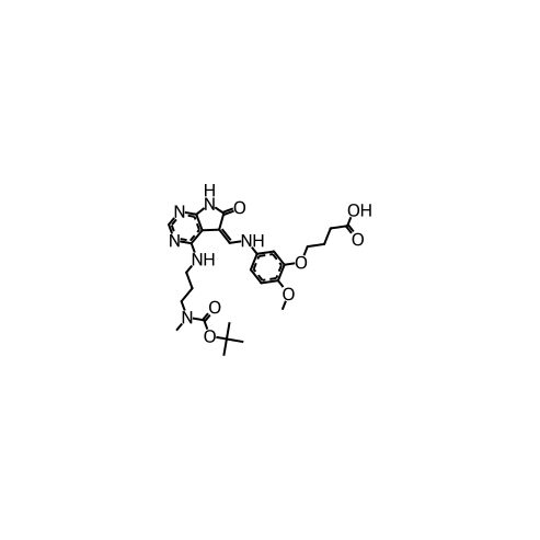 COc1ccc(N/C=C2\C(=O)Nc3ncnc(NCCCN(C)C(=O)OC(C)(C)C)c32)cc1OCCCC(=O)O